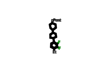 CCCCCC1CCC(C2CCC(c3ccc(CC)c(F)c3F)CC2)CC1